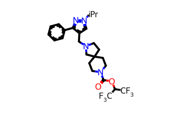 CC(C)n1cc(CN2CCC3(CCN(C(=O)OC(C(F)(F)F)C(F)(F)F)CC3)C2)c(-c2ccccc2)n1